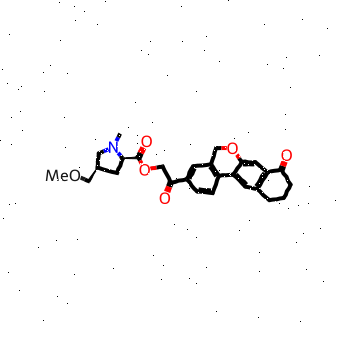 COC[C@@H]1C[C@H](C(=O)OCC(=O)c2ccc3c(c2)COc2cc4c(cc2-3)CCCC4=O)N(C)C1